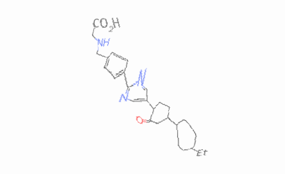 CCC1CCC(C2CCC(c3cnc(-c4ccc(CNCC(=O)O)cc4)nc3)C(=O)C2)CC1